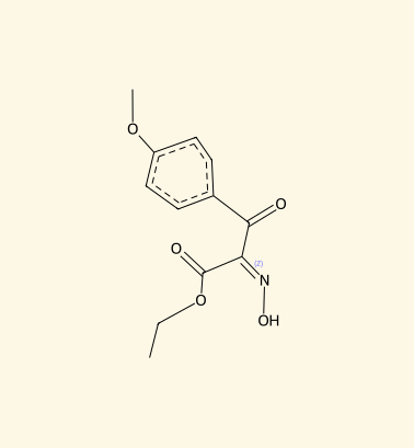 CCOC(=O)/C(=N\O)C(=O)c1ccc(OC)cc1